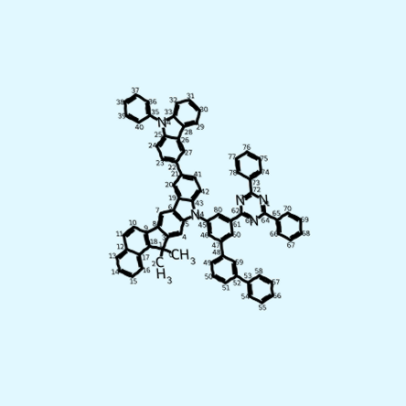 CC1(C)c2cc3c(cc2-c2ccc4ccccc4c21)c1cc(-c2ccc4c(c2)c2ccccc2n4-c2ccccc2)ccc1n3-c1cc(-c2cccc(-c3ccccc3)c2)cc(-c2nc(-c3ccccc3)nc(-c3ccccc3)n2)c1